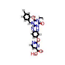 CCn1c(=O)[nH]/c(=N\c2ccc(Oc3nccc(C(=O)O)n3)cc2)n(Cc2ccc(C)cc2)c1=O